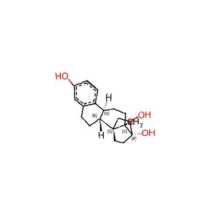 C[C@]12CC[C@@H]3c4ccc(O)cc4CC[C@H]3[C@@]13CC[C@]2(O)[C@H](O)C3